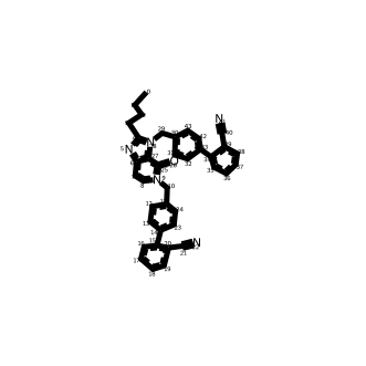 CCCCc1nc2ccn(Cc3ccc(-c4ccccc4C#N)cc3)c(=O)c2n1Cc1ccc(-c2ccccc2C#N)cc1